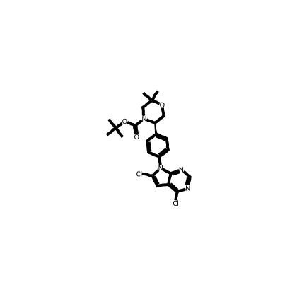 CC(C)(C)OC(=O)N1CC(C)(C)OC[C@H]1c1ccc(-n2c(Cl)cc3c(Cl)ncnc32)cc1